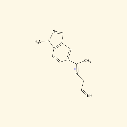 C/C(=N\CC=N)c1ccc2c(cnn2C)c1